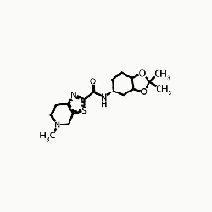 CN1CCc2nc(C(=O)N[C@H]3CCC4OC(C)(C)OC4C3)sc2C1